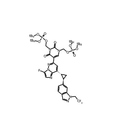 CC(C)(C)OP(=O)(OCn1cc(-c2cc([C@@H]3C[C@H]3c3ccc4cnn(CC(F)(F)F)c4c3)c3ncc(F)n3n2)c(=O)n(COP(=O)(OC(C)(C)C)OC(C)(C)C)c1=O)OC(C)(C)C